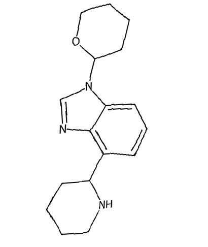 c1cc(C2CCCCN2)c2ncn(C3CCCCO3)c2c1